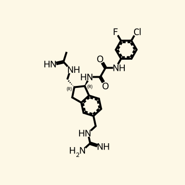 CC(=N)NC[C@H]1Cc2cc(CNC(=N)N)ccc2[C@@H]1NC(=O)C(=O)Nc1ccc(Cl)c(F)c1